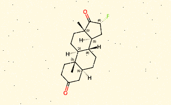 C[C@]12CCC(=O)C[C@@H]1CC[C@@H]1[C@@H]2CC[C@]2(C)C(=O)[C@H](F)C[C@@H]12